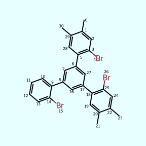 Cc1cc(Br)c(-c2cc(-c3ccccc3Br)cc(-c3cc(C)c(C)cc3Br)c2)cc1C